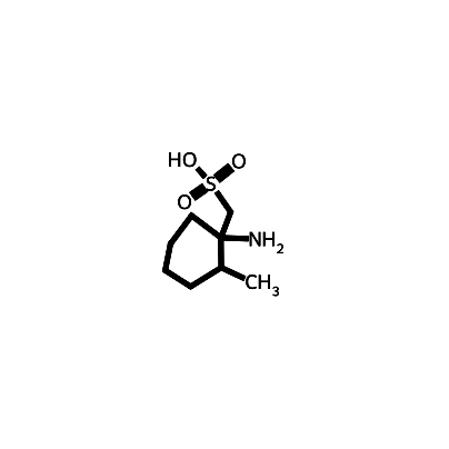 CC1CCCCC1(N)CS(=O)(=O)O